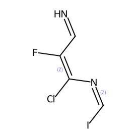 N=C/C(F)=C(Cl)\N=C/I